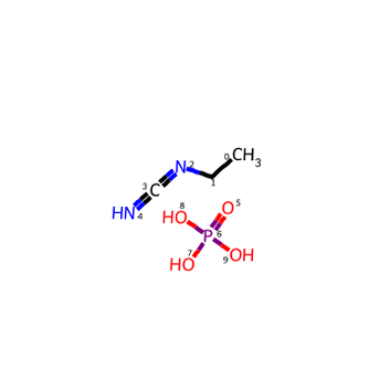 CCN=C=N.O=P(O)(O)O